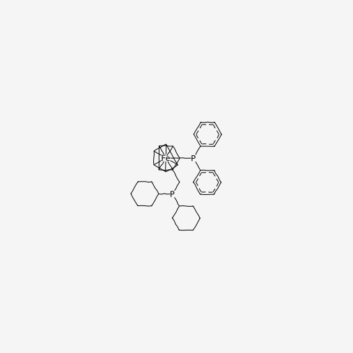 c1ccc(P(c2ccccc2)[C]23[CH]4[CH]5[CH]6[C]2(CP(C2CCCCC2)C2CCCCC2)[Fe]56432789[CH]3[CH]2[CH]7[CH]8[CH]39)cc1